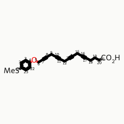 CSc1ccc(OCC#CCC#CCC#CCC#CCCCC(=O)O)cc1